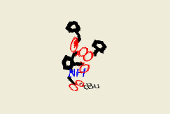 CC(C)(C)OC(=O)CNc1cccc(C(=O)OCc2ccccc2)c1C(=O)OCc1ccccc1